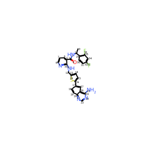 CC(NC(=O)c1cccnc1NCc1ccc(-c2ccc3ncnc(N)c3c2)s1)c1ccc(F)cc1F